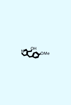 COc1ccc(CC2=C(CO)C=NCC2)cc1